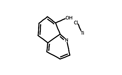 Oc1cccc2cccnc12.[Cl][Ti]